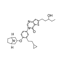 CCC(O)CCc1cc2ncn(-c3ccc(OC4C[C@H]5CC[C@@H](C4)N5C)c(CCC4CC4)c3)c(=O)c2s1